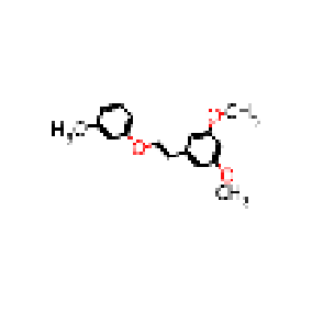 COc1cc(/C=C/Oc2cccc(C)c2)cc(OC)c1